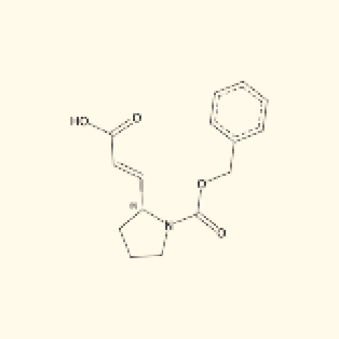 O=C(O)C=C[C@H]1CCCN1C(=O)OCc1ccccc1